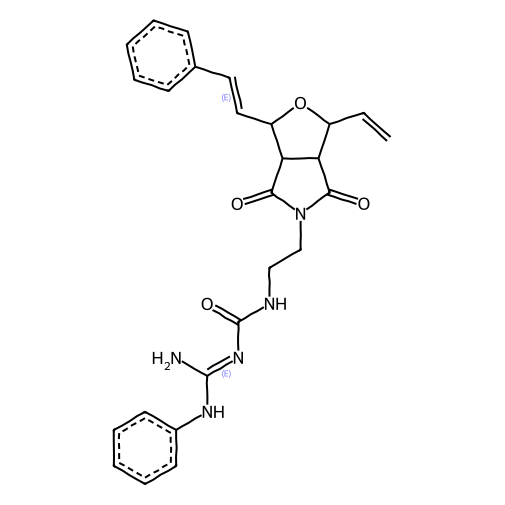 C=CC1OC(/C=C/c2ccccc2)C2C(=O)N(CCNC(=O)/N=C(\N)Nc3ccccc3)C(=O)C12